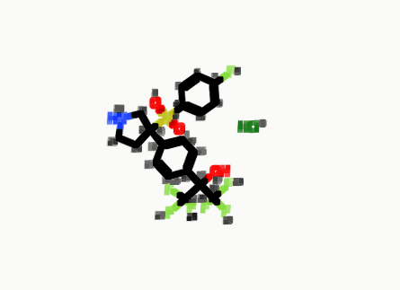 Cl.O=S(=O)(c1ccc(F)cc1)[C@]1(c2ccc(C(O)(C(F)(F)F)C(F)(F)F)cc2)CCNC1